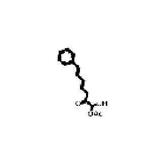 CC(=O)OC(O)C(=O)CC=CC=Cc1ccccc1